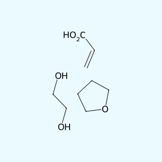 C1CCOC1.C=CC(=O)O.OCCO